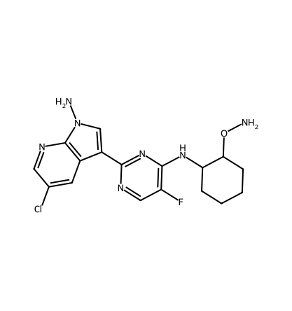 NOC1CCCCC1Nc1nc(-c2cn(N)c3ncc(Cl)cc23)ncc1F